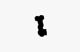 C1=CC2=C(NC1)C1NC=C(c3ccc4cc(-c5ccc(N(c6ccccc6)c6ccccc6)cc5)ccc4c3)C=C1C=C2